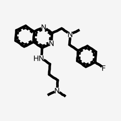 CN(C)CCCNc1nc(CN(C)Cc2ccc(F)cc2)nc2ccccc12